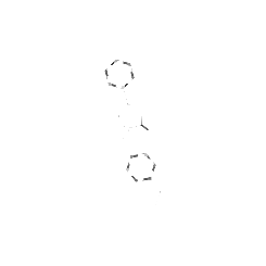 CCc1ccc(CN2CC(c3ccccc3)OC2=O)cc1